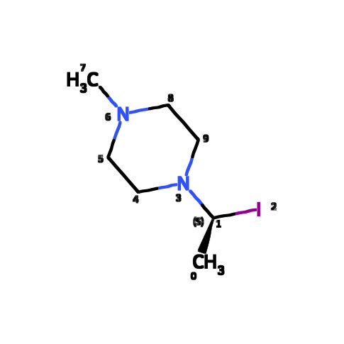 C[C@H](I)N1CCN(C)CC1